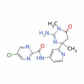 CN1C(=O)CC(C)(c2cc(NC(=O)c3ncc(Cl)cn3)ccn2)N=C1N